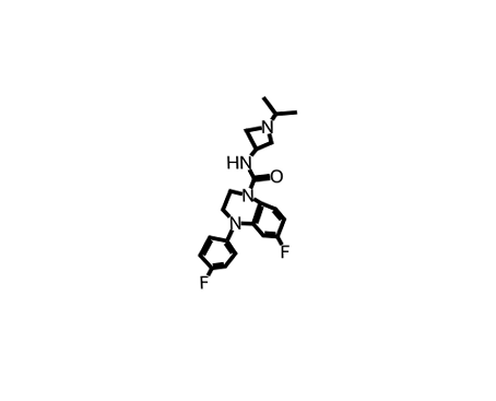 CC(C)N1CC(NC(=O)N2CCN(c3ccc(F)cc3)c3cc(F)ccc32)C1